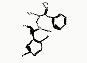 CCN(C(=O)c1ccccc1)N(C(=O)c1cc(F)ccc1F)C(C)(C)C